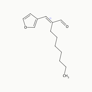 CCCCCCC/C(C=O)=C\c1ccoc1